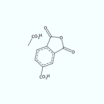 CC(=O)O.O=C(O)c1ccc2c(c1)C(=O)OC2=O